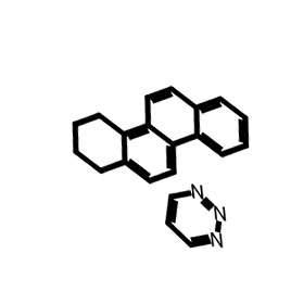 c1ccc2c(c1)ccc1c3c(ccc12)CCCC3.c1cnnnc1